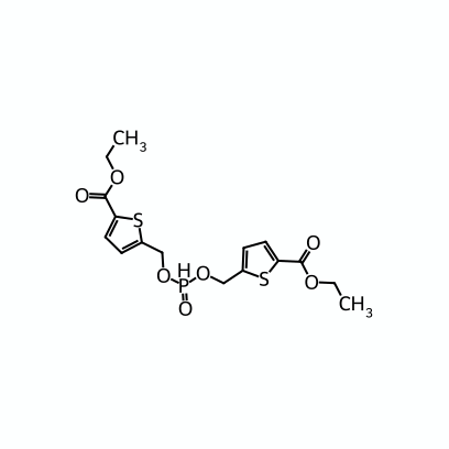 CCOC(=O)c1ccc(CO[PH](=O)OCc2ccc(C(=O)OCC)s2)s1